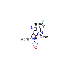 CSc1nc(-c2ccc(F)cc2)c(-c2cc(NC(C)=O)ncc2-c2ccnc(NC(C)=O)c2)n1CCCN1CCOCC1